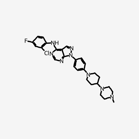 CN1CCN(C2CCN(c3ccc(-n4ncc5c(Nc6ccc(F)cc6Cl)ncnc54)cc3)CC2)CC1